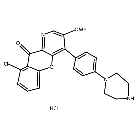 COc1cnc2c(=O)c3c(Cl)cccc3oc2c1-c1ccc(N2CCNCC2)cc1.Cl